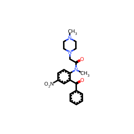 CN1CCN(CC(=O)N(C)c2ccc([N+](=O)[O-])cc2C(=O)c2ccccc2)CC1